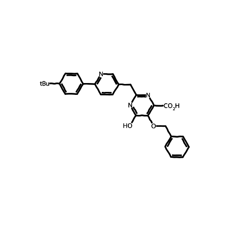 CC(C)(C)c1ccc(-c2ccc(Cc3nc(O)c(OCc4ccccc4)c(C(=O)O)n3)cn2)cc1